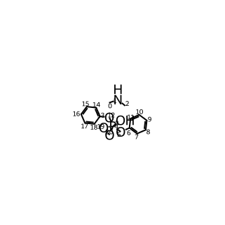 CNC.OP1(Oc2ccccc2)(Oc2ccccc2)OO1